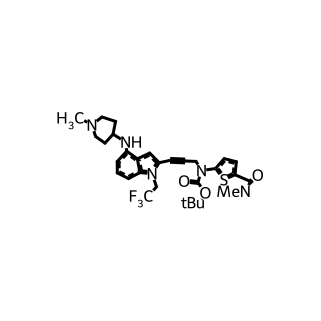 CNC(=O)c1ccc(N(CC#Cc2cc3c(NC4CCN(C)CC4)cccc3n2CC(F)(F)F)C(=O)OC(C)(C)C)s1